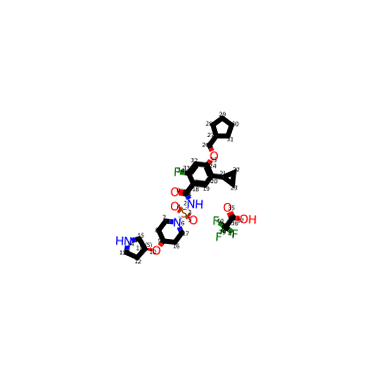 O=C(NS(=O)(=O)N1CCC(O[C@H]2CCNC2)CC1)c1cc(C2CC2)c(OCC2CCCC2)cc1F.O=C(O)C(F)(F)F